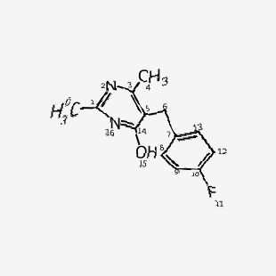 Cc1nc(C)c(Cc2ccc(F)cc2)c(O)n1